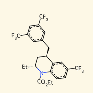 CCOC(=O)N1c2ccc(C(F)(F)F)cc2[C@H](Cc2cc(C(F)(F)F)cc(C(F)(F)F)c2)C[C@H]1CC